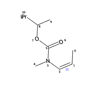 C/C=C\N(C)C(=O)OC(C)C(C)C